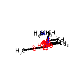 CCCCCCCCCCCCCC(=O)OCCCCCCCCCCCCCC(=O)N[C@@H](CO)CO[C@@H]1O[C@H](CO)[C@@H](OP(=O)(O)O)[C@H](OC(=O)C[C@@H](CCCCCCCCCCC)OC(=O)CCCCCCCCCCCCC)[C@H]1NC(=O)C[C@@H](CCCCCCCCCCC)OC(=O)CCCCCCCCCCCCC.CCN(CC)CC